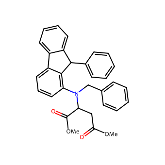 COC(=O)CC(C(=O)OC)N(Cc1ccccc1)c1cccc2c1C(c1ccccc1)c1ccccc1-2